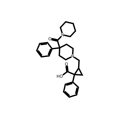 O=C(N1CCCCC1)C1(c2ccccc2)CCN(CC2CC2(C(=O)O)c2ccccc2)CC1